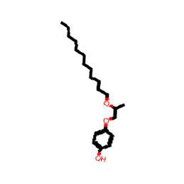 CCCCCCCCCCCCOC(C)COc1ccc(O)cc1